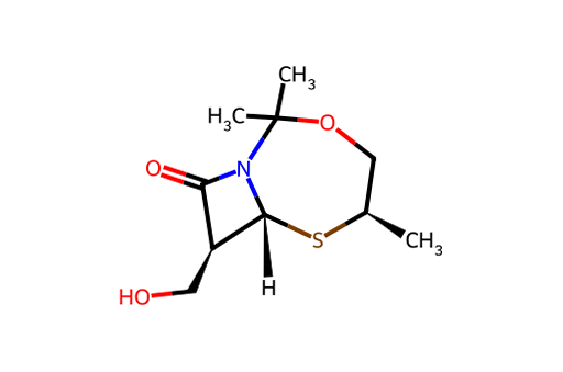 C[C@@H]1COC(C)(C)N2C(=O)[C@H](CO)[C@H]2S1